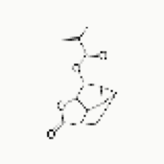 C=C(C)C(=O)OC1C2OC(=O)C3CC4C1C4C32